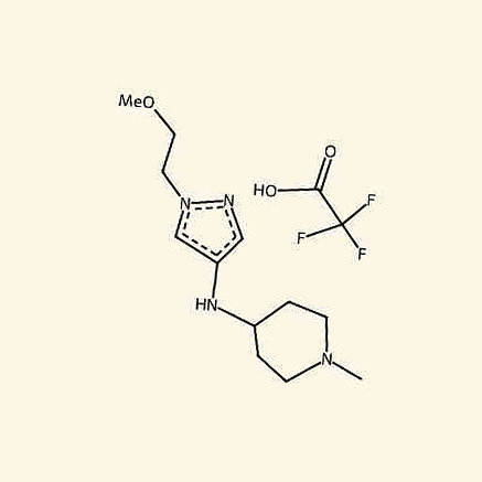 COCCn1cc(NC2CCN(C)CC2)cn1.O=C(O)C(F)(F)F